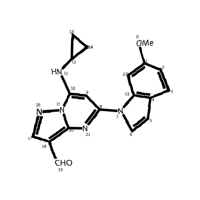 COc1ccc2ccn(-c3cc(NC4CC4)n4ncc(C=O)c4n3)c2c1